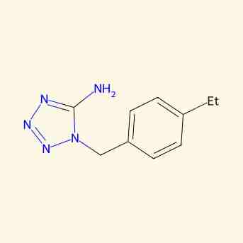 CCc1ccc(Cn2nnnc2N)cc1